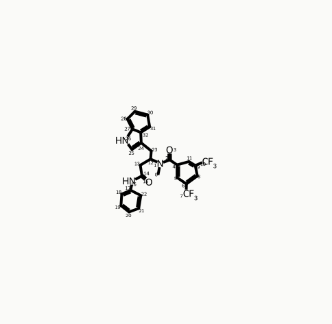 CN(C(=O)c1cc(C(F)(F)F)cc(C(F)(F)F)c1)C(CC(=O)Nc1ccccc1)Cc1c[nH]c2ccccc12